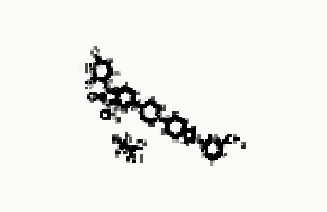 Cc1ccnc(N2CC3(CCC(N4CCC(c5ccc6c(c5)n(C)c(=O)n6C5CCC(=O)NC5=O)CC4)CC3)C2)n1.O=C(O)C(F)(F)F